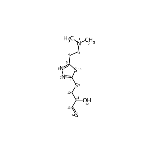 CN(C)CCc1nnc(SCC(O)[C]=S)s1